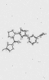 CC1=CCC(C(=O)N2CCCC2c2nnn(-c3cccc(C#N)c3)n2)S1